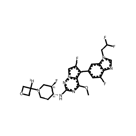 [2H]C1(N2CC[C@@H](Nc3nc(OC)c4c(-c5cc(F)c6ncn(CC(F)F)c6c5)c(F)cn4n3)[C@H](F)C2)COC1